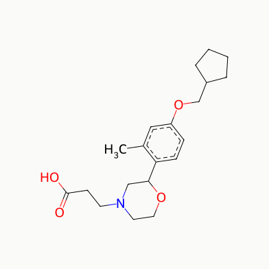 Cc1cc(OCC2CCCC2)ccc1C1CN(CCC(=O)O)CCO1